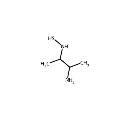 CC(N)C(C)NS